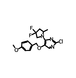 COc1ccc(COc2cnc(Cl)nc2N2CC(F)(F)CC2C)cc1